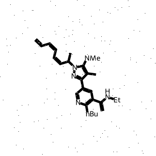 C=C/C=C\C=C/C(C)n1nc(-c2cnc(CCCC)c(C(=C)NCC)c2)c(C)c1NC